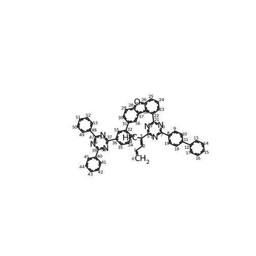 C=C/C=C(\C)c1nc(-c2ccc(-c3ccccc3)cc2)nc(-c2cccc3oc4ccc(-c5cccc(-c6nc(-c7ccccc7)nc(-c7ccccc7)n6)c5)cc4c23)n1